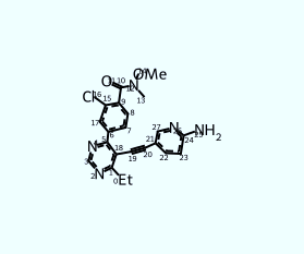 CCc1ncnc(-c2ccc(C(=O)N(C)OC)c(Cl)c2)c1C#Cc1ccc(N)nc1